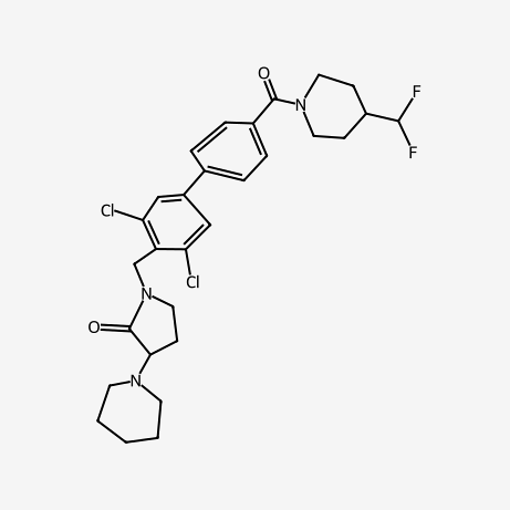 O=C(c1ccc(-c2cc(Cl)c(CN3CCC(N4CCCCC4)C3=O)c(Cl)c2)cc1)N1CCC(C(F)F)CC1